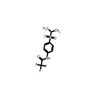 CC(C)S(=O)(=O)c1ccc(NC(=O)C(F)(F)F)cc1